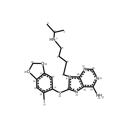 CC(C)NCCCCn1c(Sc2cc3c(cc2I)OCO3)nc2c(N)ncnc21